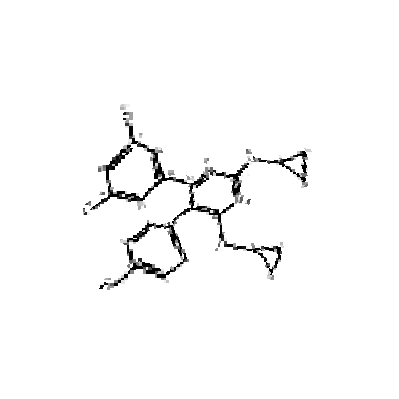 Clc1ccc(-c2c(OC3CC3)nc(OC3CC3)nc2-c2cc(Cl)cc(Cl)c2)cc1